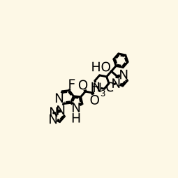 Cn1ccnc1C(O)(c1ccccc1)C1CCN(C(=O)C(=O)c2c[nH]c3c(-n4ccnn4)ncc(F)c23)CC1